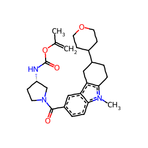 C=C(C)OC(=O)N[C@H]1CCN(C(=O)c2ccc3c(c2)c2c(n3C)CCC(C3CCOCC3)C2)C1